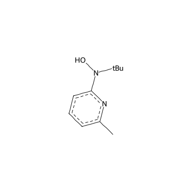 Cc1cccc(N(O)C(C)(C)C)n1